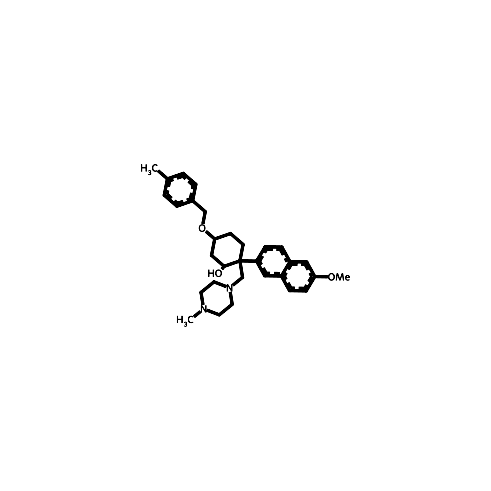 COc1ccc2cc(C3(CN4CCN(C)CC4)CCC(OCc4ccc(C)cc4)CC3O)ccc2c1